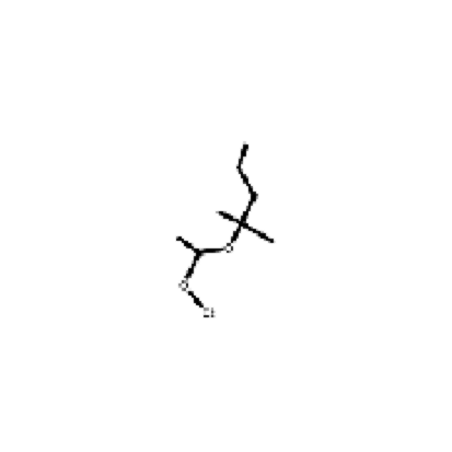 CCOC(C)OC(C)(C)CCI